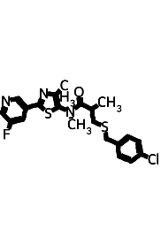 Cc1nc(-c2cncc(F)c2)sc1N(C)C(=O)C(C)CSCc1ccc(Cl)cc1